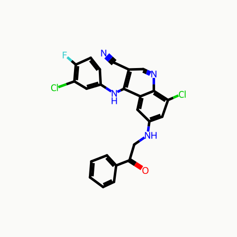 N#Cc1cnc2c(Cl)cc(NCC(=O)c3ccccc3)cc2c1Nc1ccc(F)c(Cl)c1